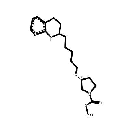 CC(C)(C)OC(=O)N1CC[C@@H](OCCCCCC2CCc3cccnc3N2)C1